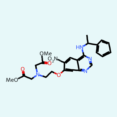 COC(=O)CN(CCOc1cc2ncnc(NC(C)c3ccccc3)c2cc1[N+](=O)[O-])CC(=O)OC